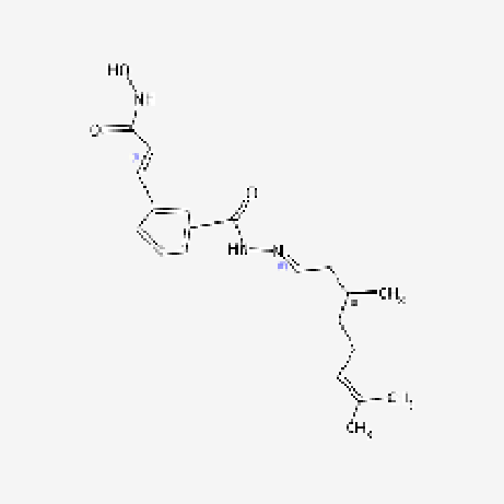 CC(C)=CCC[C@H](C)C/C=N/NC(=O)c1cccc(/C=C/C(=O)NO)c1